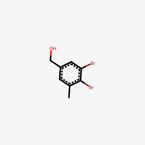 Cc1cc(CO)cc(Br)c1Br